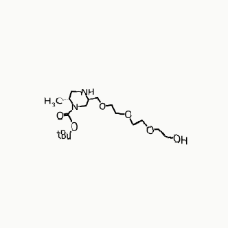 C[C@@H]1CN[C@@H](COCCOCCOCCO)CN1C(=O)OC(C)(C)C